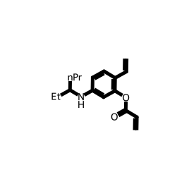 C=CC(=O)Oc1cc(NC(CC)CCC)ccc1C=C